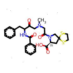 CN(CC(=O)C(Cc1ccccc1)NC(=O)c1ccccc1)CC(=O)N1CC2(C[C@H]1C(=O)O)SCCS2